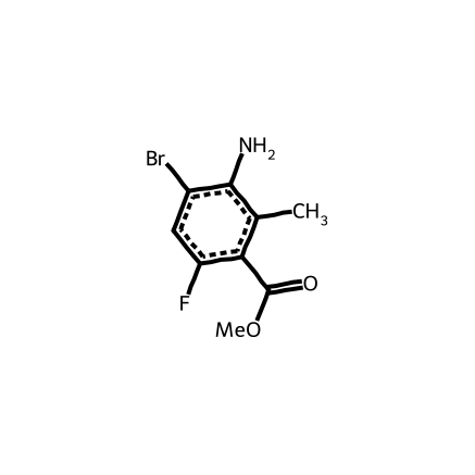 COC(=O)c1c(F)cc(Br)c(N)c1C